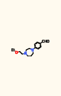 CCOCCN1CCCN(c2ccc(C=O)cc2)CC1